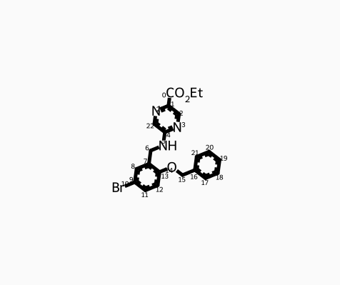 CCOC(=O)c1cnc(NCc2cc(Br)ccc2OCc2ccccc2)cn1